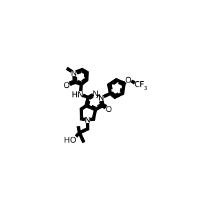 Cn1cccc(Nc2nn(-c3ccc(OC(F)(F)F)cc3)c(=O)c3c2CCN(CC(C)(C)O)C3)c1=O